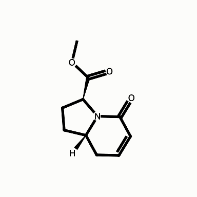 COC(=O)[C@@H]1CC[C@H]2CC=CC(=O)N21